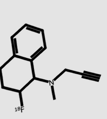 C#CCN(C)C1c2ccccc2CCC1[18F]